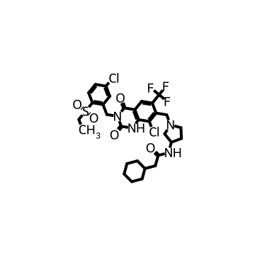 CCS(=O)(=O)c1ccc(Cl)cc1Cn1c(=O)[nH]c2c(Cl)c(CN3CCC(NC(=O)CC4CCCCC4)C3)c(C(F)(F)F)cc2c1=O